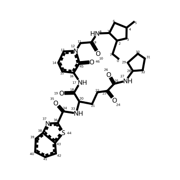 CCC1CC(C)CC1NC(=O)Cn1cccc(NC(=O)C(CCC(=O)C(=O)NC2CCCC2)NC(=O)c2nc3ccccc3s2)c1=O